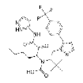 CCCC[C@@H](C(=O)C(=O)Nc1ccn[nH]1)N(C(=O)O)[C@H](Cn1nccc1-c1ccc(C(F)(F)F)cc1)C(C)(C)C